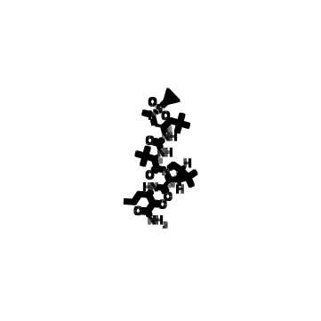 CCCC(NC(=O)[C@@H]1[C@@H]2[C@H](CN1C(=O)[C@@H](NC(=O)N[C@H](CN(C)S(=O)(=O)C1CC1)CC(C)(C)C)C(C)(C)C)C2(C)C)C(=O)C(N)=O